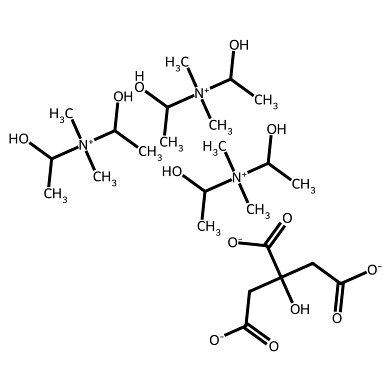 CC(O)[N+](C)(C)C(C)O.CC(O)[N+](C)(C)C(C)O.CC(O)[N+](C)(C)C(C)O.O=C([O-])CC(O)(CC(=O)[O-])C(=O)[O-]